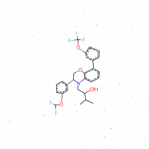 CC(C)C(O)CN1c2cccc(-c3cccc(OC(F)(F)F)c3)c2OCC1c1cccc(OC(F)F)c1